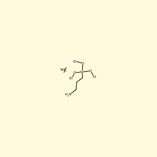 CC.CCO[Si](CCCN)(OCC)OCC.N